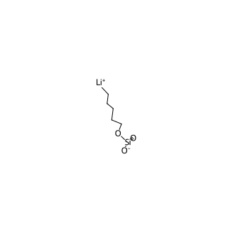 CCCCCCO[Si](=O)[O-].[Li+]